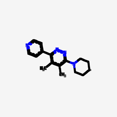 Cc1c(-c2ccncc2)nnc(N2CC[CH]CC2)c1C